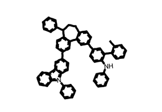 Cc1ccccc1-c1cc(-c2ccc3c(c2)-c2cc(-c4ccc5c(c4)c4ccccc4n5-c4ccccc4)ccc2C(c2ccccc2)CC3)ccc1Nc1ccccc1